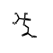 COC(=O)COP(=O)(O)C(N)C(C)C